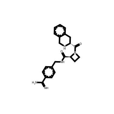 N=C(N)c1ccc(CNC(=O)[C@@H]2CCN2C(=O)[C@H]2Cc3ccccc3CN2)cc1